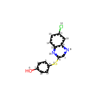 Oc1ccc(Sc2cnc3cc(Cl)ccc3n2)cc1